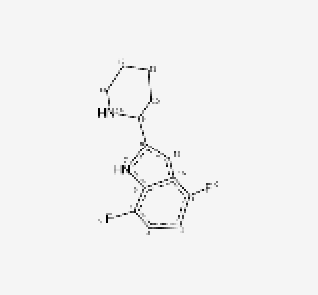 Fc1ccc(F)c2[nH]c(C3CCCCN3)cc12